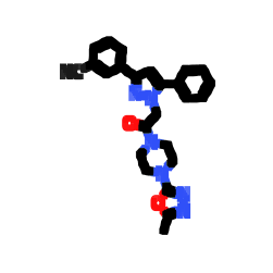 Cc1nnc(N2CCN(C(=O)Cn3nc(-c4cccc(C#N)c4)cc3-c3ccccc3)CC2)o1